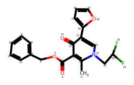 Cc1c(C(=O)OCc2ccccc2)c(=O)c(-c2ccco2)cn1CC(F)F